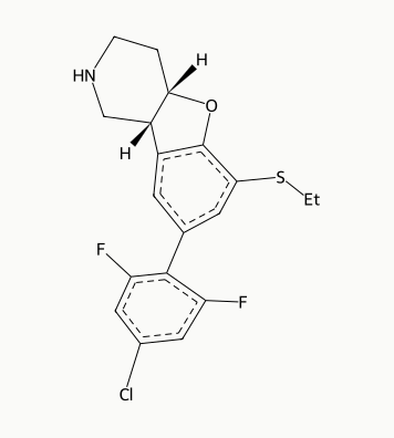 CCSc1cc(-c2c(F)cc(Cl)cc2F)cc2c1O[C@H]1CCNC[C@@H]21